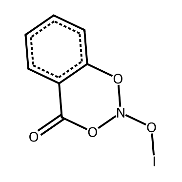 O=C1ON(OI)Oc2ccccc21